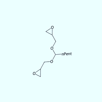 CCCCCC(OCC1CO1)OCC1CO1